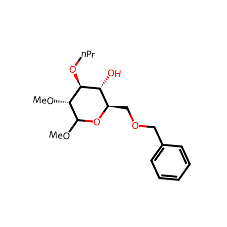 CCCO[C@H]1[C@H](O)[C@@H](COCc2ccccc2)OC(OC)[C@@H]1OC